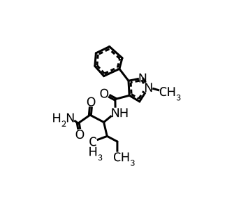 CCC(C)C(NC(=O)c1cn(C)nc1-c1ccccc1)C(=O)C(N)=O